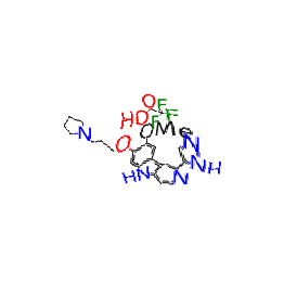 COc1cc2c(cc1OCCCN1CCCC1)[nH]c1ccnc(-c3cnc[nH]3)c12.O=C(O)C(F)(F)F